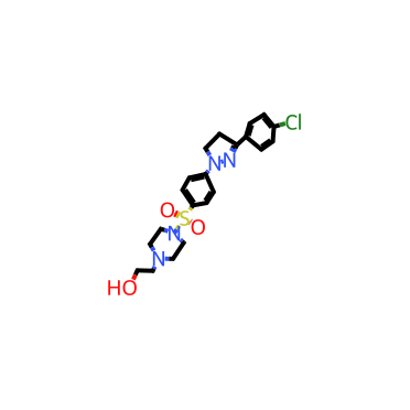 O=S(=O)(c1ccc(N2CCC(c3ccc(Cl)cc3)=N2)cc1)N1CCN(CCO)CC1